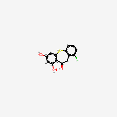 O=C1Cc2c(Cl)cccc2Sc2cc(O)cc(O)c21